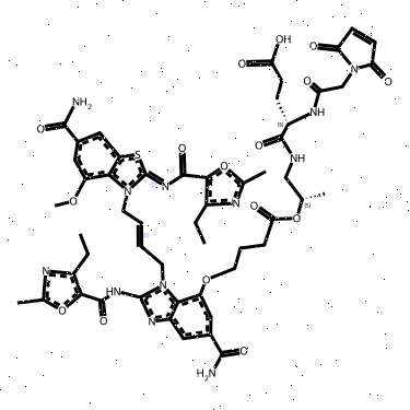 CCc1nc(C)oc1C(=O)/N=c1\sc2cc(C(N)=O)cc(OC)c2n1C/C=C/Cn1c(NC(=O)c2oc(C)nc2CC)nc2cc(C(N)=O)cc(OCCCC(=O)O[C@@H](C)CNC(=O)[C@H](CCC(=O)O)NC(=O)CN3C(=O)C=CC3=O)c21